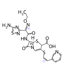 CCO/N=C(/C(=O)NC1C(=O)N2C=C(S/C=C\c3cccnc3)C(C(=O)O)S[C@H]12)c1nsc(N)n1